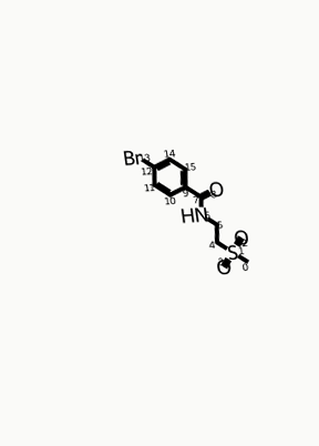 CS(=O)(=O)CCNC(=O)c1ccc(Br)cc1